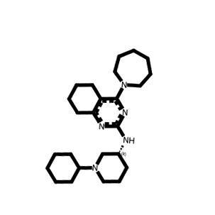 C1CCC(N2CCC[C@@H](Nc3nc4c(c(N5CCCCCC5)n3)CCCC4)C2)CC1